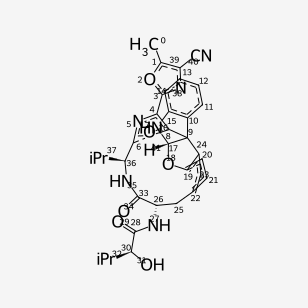 Cc1oc(-c2nc3oc2C24c5ccccc5N[C@H]2Oc2ccc(cc24)C[C@H](NC(=O)[C@@H](O)C(C)C)C(=O)N[C@H]3C(C)C)nc1C#N